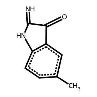 Cc1ccc2c(c1)C(=O)C(=N)N2